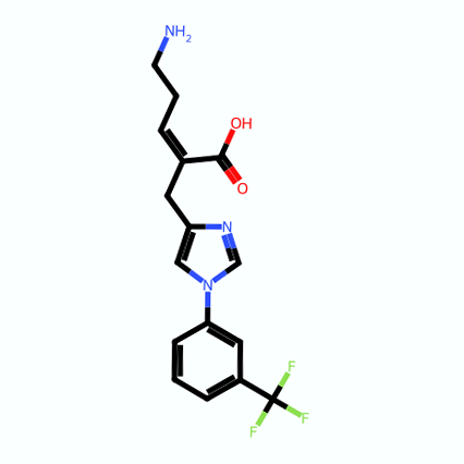 NCC/C=C(/Cc1cn(-c2cccc(C(F)(F)F)c2)cn1)C(=O)O